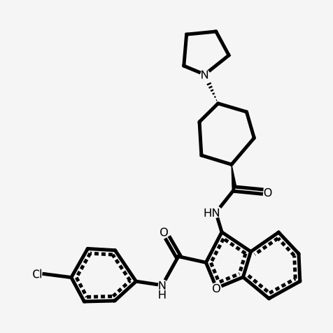 O=C(Nc1ccc(Cl)cc1)c1oc2ccccc2c1NC(=O)[C@H]1CC[C@H](N2CCCC2)CC1